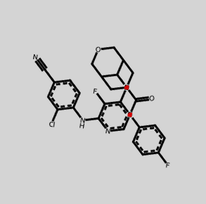 N#Cc1ccc(Nc2ncnc(OC3C4COCC3CN(C(=O)Oc3ccc(F)cc3)C4)c2F)c(Cl)c1